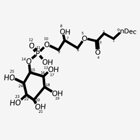 CCCCCCCCCCCCC(=O)OCC(O)COP(=O)(O)OC1C(O)C(O)C(O)C(O)C1O